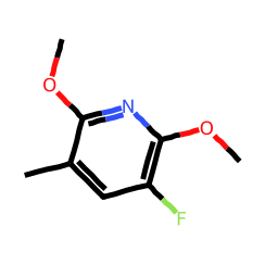 COc1nc(OC)c(F)cc1C